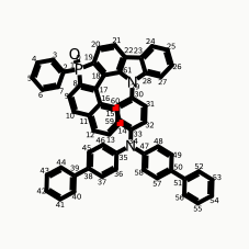 O=P1(c2ccccc2)c2ccc3ccccc3c2-c2c1ccc1c3ccccc3n(-c3ccc(N(c4ccc(-c5ccccc5)cc4)c4ccc(-c5ccccc5)cc4)cc3)c21